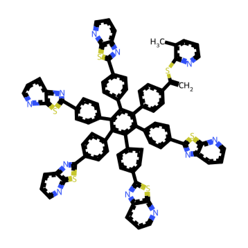 C=C(Sc1ncccc1C)c1ccc(-c2c(-c3ccc(-c4nc5cccnc5s4)cc3)c(-c3ccc(-c4nc5cccnc5s4)cc3)c(-c3ccc(-c4nc5cccnc5s4)cc3)c(-c3ccc(-c4nc5cccnc5s4)cc3)c2-c2ccc(-c3nc4cccnc4s3)cc2)cc1